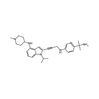 CC(C)n1c(C#CCNc2ccc(C(C)(C)N)nc2)cc2c(NC3CCN(C)CC3)cccc21